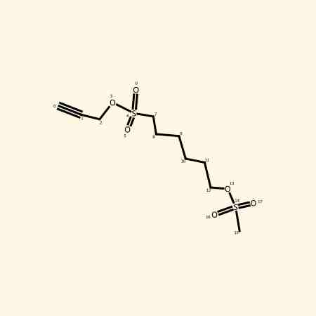 C#CCOS(=O)(=O)CCCCCCOS(C)(=O)=O